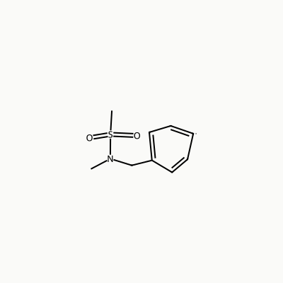 CN(Cc1cc[c]cc1)S(C)(=O)=O